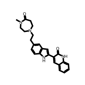 CN1CCN(CCc2ccc3[nH]c(-c4cc5ccccc5[nH]c4=O)cc3c2)CCC1=O